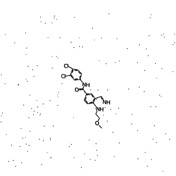 COCCNc1ccc(C(=O)Nc2ccc(Cl)c(Cl)c2)cc1C=N